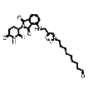 O=CCCCCCCCCn1cc(CNc2cccc3c2C(=O)N(C2CCC(=O)NC2=O)C3=O)nn1